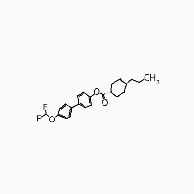 CCC[C@H]1CC[C@H](C(=O)Oc2ccc(-c3ccc(OC(F)F)cc3)cc2)CC1